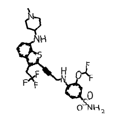 CN1CCC(Nc2cccc3c(CC(F)(F)F)c(C#CCNc4ccc(S(N)(=O)=O)cc4OC(F)F)sc23)CC1